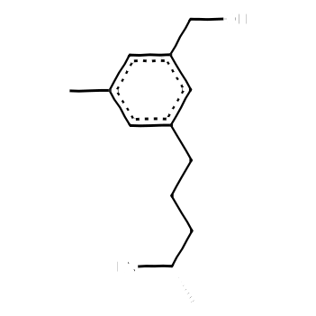 Cc1cc(CO)cc(CCC[C@H](C)N)c1